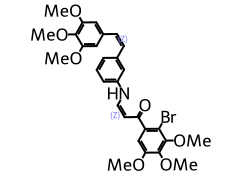 COc1cc(/C=C\c2cccc(N/C=C\C(=O)c3cc(OC)c(OC)c(OC)c3Br)c2)cc(OC)c1OC